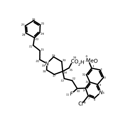 COc1ccc2ncc(Cl)c(C(F)CCC3(CC(=O)O)CCN(CCCc4ccccc4)CC3)c2c1